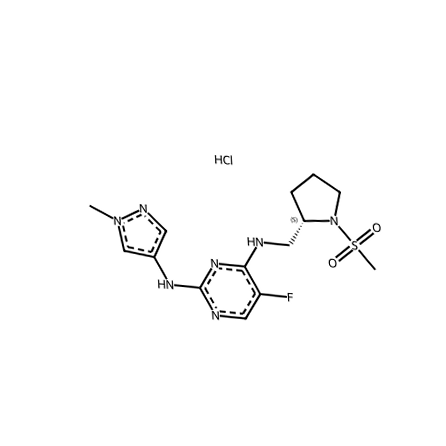 Cl.Cn1cc(Nc2ncc(F)c(NC[C@@H]3CCCN3S(C)(=O)=O)n2)cn1